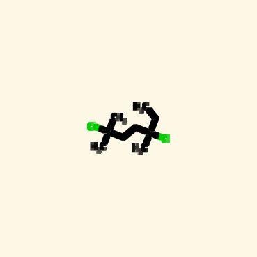 CC[Si](C)(Cl)CC[Si](C)(C)Cl